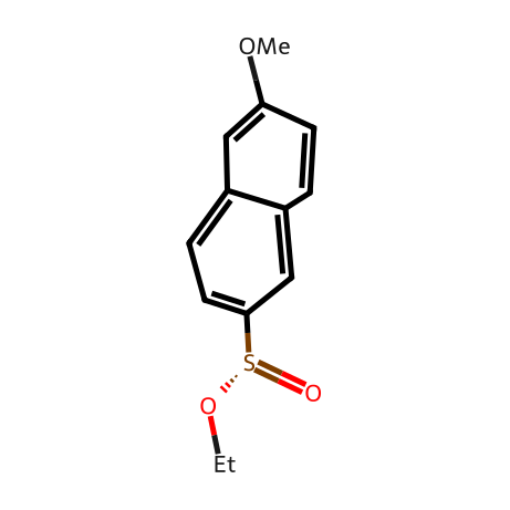 CCO[S@@](=O)c1ccc2cc(OC)ccc2c1